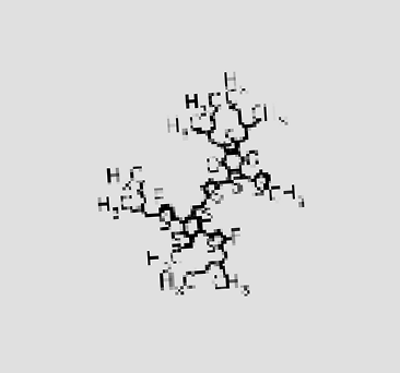 CCCCC(CC)Cc1sc(-c2c3cc(-c4ccc(-c5sc(-c6ccc(C)s6)c6c5C(=O)c5c(CC(CC)CCCC)sc(CC(CC)CCCC)c5C6=O)s4)sc3c(-c3cc(F)c(CC(CC)CCCC)s3)c3cc(C)sc23)cc1F